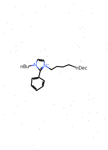 CCCCCCCCCCCCCC[n+]1ccn(CCCC)c1-c1ccccc1